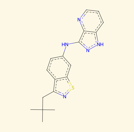 CC(C)(C)Cc1nsc2cc(Nc3n[nH]c4cccnc34)ccc12